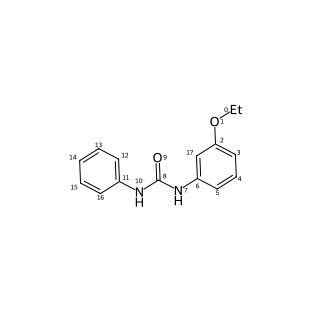 CCOc1cccc(NC(=O)Nc2ccccc2)c1